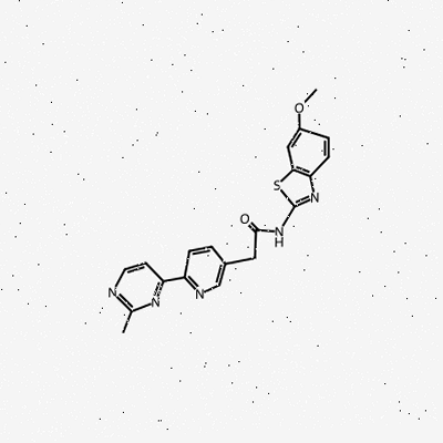 COc1ccc2nc(NC(=O)Cc3ccc(-c4ccnc(C)n4)nc3)sc2c1